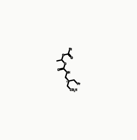 CCC(=O)OC(C)OC(=O)NC[C@H](CC(=O)O)CC(C)C